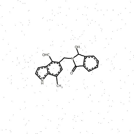 Cc1cc(CN2C(=O)c3ccccc3C2O)c(C=O)c2cc[nH]c12